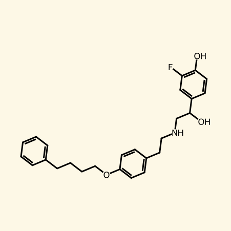 Oc1ccc(C(O)CNCCc2ccc(OCCCCc3ccccc3)cc2)cc1F